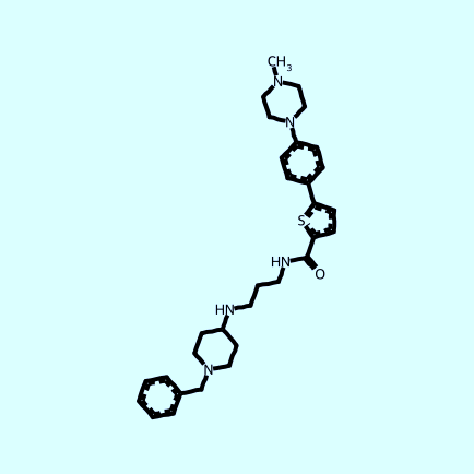 CN1CCN(c2ccc(-c3ccc(C(=O)NCCCNC4CCN(Cc5ccccc5)CC4)s3)cc2)CC1